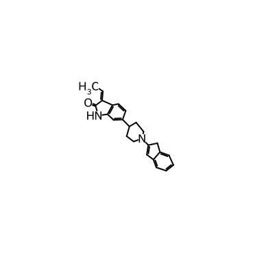 CC=C1C(=O)Nc2cc(C3CCN(C4=Cc5ccccc5C4)CC3)ccc21